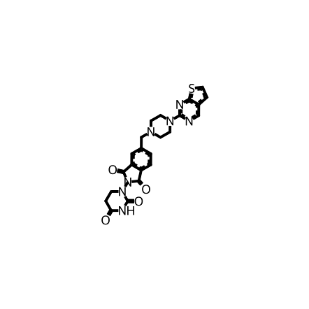 O=C1CCN(N2C(=O)c3ccc(CN4CCN(c5ncc6ccsc6n5)CC4)cc3C2=O)C(=O)N1